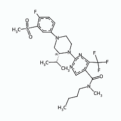 CCCCN(C)C(=O)c1cnc(N2CCN(c3ccc(F)c(S(C)(=O)=O)c3)C[C@H]2C(C)C)nc1C(F)(F)F